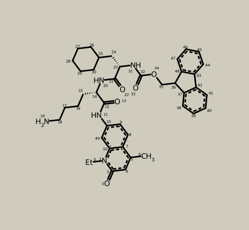 CCn1c(=O)cc(C)c2ccc(NC(=O)[C@H](CCCCN)NC(=O)[C@H](CC3CCCCC3)NC(=O)OCC3c4ccccc4-c4ccccc43)cc21